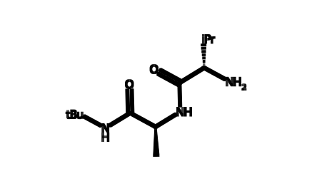 CC(C)[C@H](N)C(=O)N[C@@H](C)C(=O)NC(C)(C)C